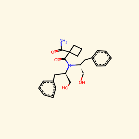 NC(=O)C1(C(=O)N([C@@H](CO)Cc2ccccc2)[C@@H](CO)Cc2ccccc2)CCC1